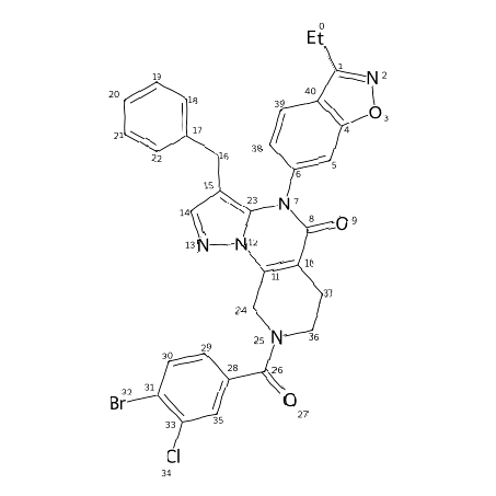 CCc1noc2cc(-n3c(=O)c4c(n5ncc(Cc6ccccc6)c35)CN(C(=O)c3ccc(Br)c(Cl)c3)CC4)ccc12